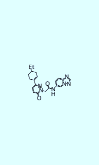 CCC1CC=C(c2ccc(=O)n(CC(=O)Nc3ccc4ncnn4c3)n2)CC1